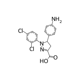 Nc1ccc(C2CC(C(=O)O)=NN2c2ccc(Cl)cc2Cl)cc1